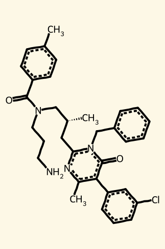 Cc1ccc(C(=O)N(CCCN)C[C@H](C)Cc2nc(C)c(-c3cccc(Cl)c3)c(=O)n2Cc2ccccc2)cc1